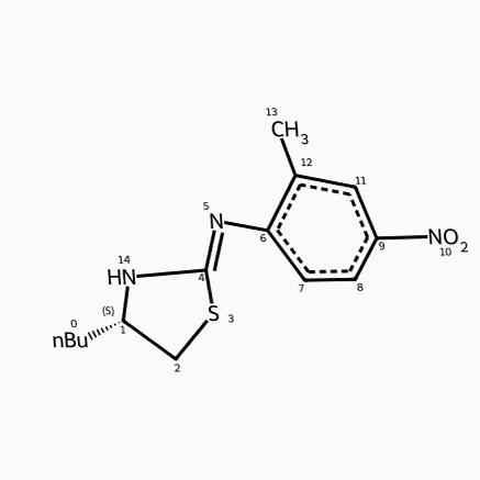 CCCC[C@H]1CSC(=Nc2ccc([N+](=O)[O-])cc2C)N1